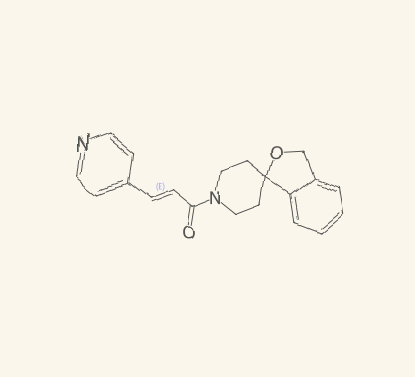 O=C(/C=C/c1ccncc1)N1CCC2(CC1)OCc1ccccc12